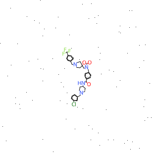 O=C(NC1CCN(Cc2cccc(Cl)c2)CC1)c1ccc(CN2CC3(CCN(Cc4ccc(C(F)(F)F)cc4)CC3)OC2=O)cc1